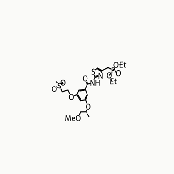 CCOP(=O)(Cc1csc(NC(=O)c2cc(OCCS(C)(=O)=O)cc(O[C@@H](C)COC)c2)n1)OCC